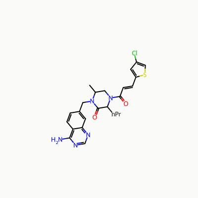 CCCC1C(=O)N(Cc2ccc3c(N)ncnc3c2)C(C)CN1C(=O)C=Cc1cc(Cl)cs1